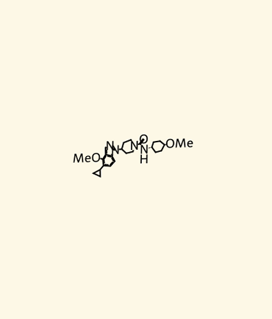 COc1c(C2CC2)ccc2c1cnn2C1CCN(C(=O)N[C@H]2CC[C@H](OC)CC2)CC1